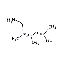 CC(C)=C/C(C)=C(/C)CN